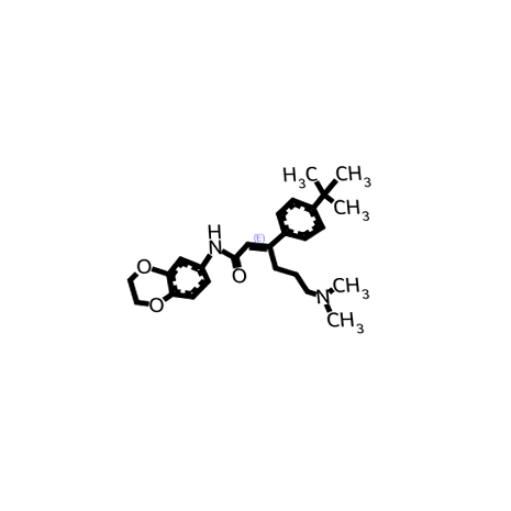 CN(C)CCC/C(=C\C(=O)Nc1ccc2c(c1)OCCO2)c1ccc(C(C)(C)C)cc1